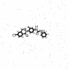 Cc1cc(NC(=O)Nc2ccccc2)ccc1N1OCc2cc(Cl)ccc2C1=O